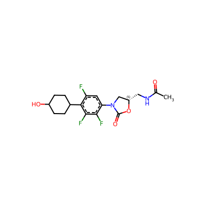 CC(=O)NC[C@H]1CN(c2cc(F)c(C3CCC(O)CC3)c(F)c2F)C(=O)O1